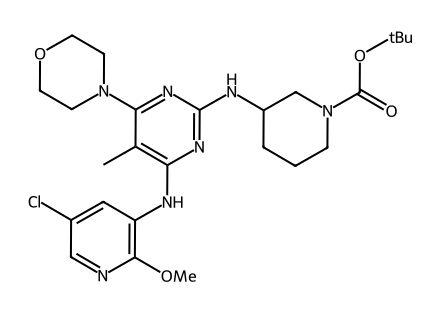 COc1ncc(Cl)cc1Nc1nc(NC2CCCN(C(=O)OC(C)(C)C)C2)nc(N2CCOCC2)c1C